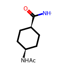 CC(=O)N[C@H]1CC[C@@H](C([NH])=O)CC1